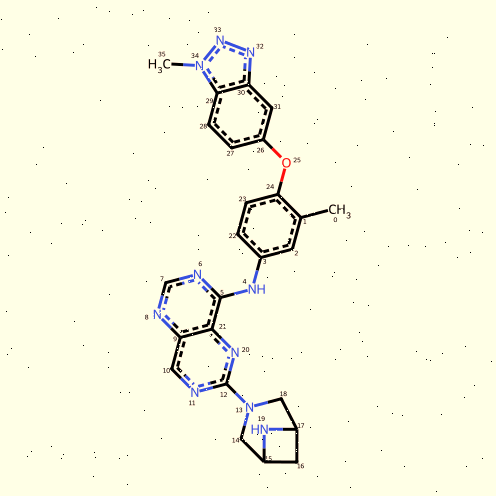 Cc1cc(Nc2ncnc3cnc(N4CC5CC(C4)N5)nc23)ccc1Oc1ccc2c(c1)nnn2C